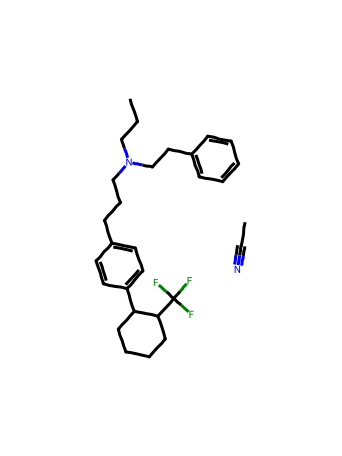 CC#N.CCCN(CCCc1ccc(C2CCCCC2C(F)(F)F)cc1)CCc1ccccc1